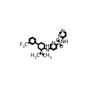 CN(C)C1CC(c2cccc(C(F)(F)F)c2)CCC1Nc1ccc(S(=O)(=O)Nc2ccncn2)nc1